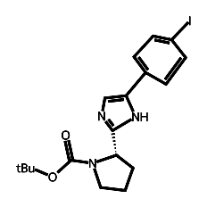 CC(C)(C)OC(=O)N1CCC[C@H]1c1ncc(-c2ccc(I)cc2)[nH]1